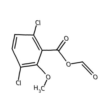 COc1c(Cl)ccc(Cl)c1C(=O)OC=O